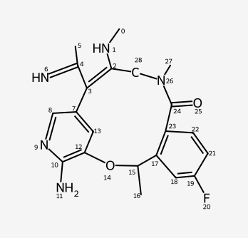 CN/C1=C(\C(C)=N)c2cnc(N)c(c2)OC(C)c2cc(F)ccc2C(=O)N(C)C1